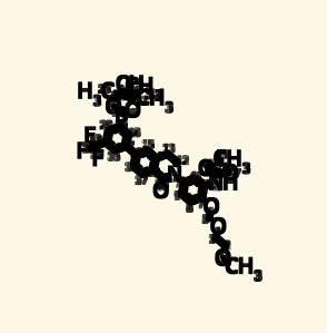 COCCOCOc1ccc(N2CCc3cc(-c4cc(B5OC(C)(C)C(C)(C)O5)cc(C(F)(F)F)c4)ccc3C2=O)cc1NS(C)(=O)=O